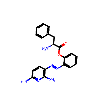 Nc1ccc(/N=N/c2ccccc2OC(=O)[C@@H](N)Cc2ccccc2)c(N)n1